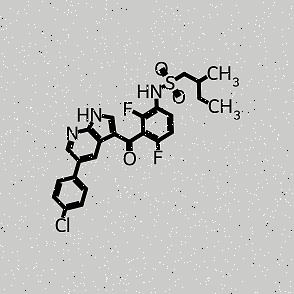 CCC(C)CS(=O)(=O)Nc1ccc(F)c(C(=O)c2c[nH]c3ncc(-c4ccc(Cl)cc4)cc23)c1F